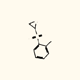 Cc1ccccc1S(=O)(=O)C1C[N]1